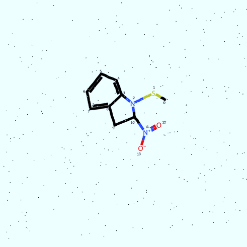 CSN1c2ccccc2CC1[N+](=O)[O-]